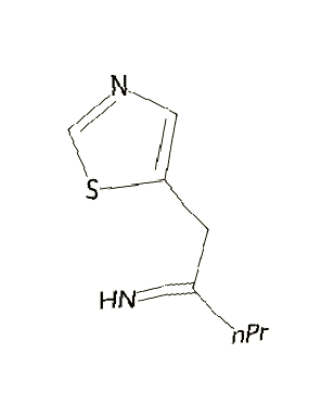 CCCC(=N)Cc1cncs1